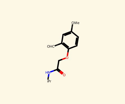 COc1ccc(OCC(=O)NC(C)C)c(C=O)c1